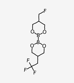 FCC1COB(B2OCC(CC(F)(F)F)CO2)OC1